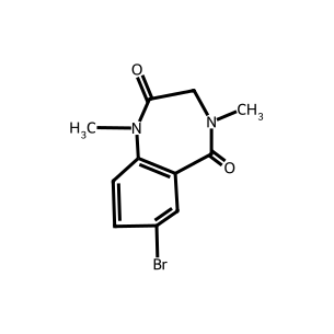 CN1CC(=O)N(C)c2ccc(Br)cc2C1=O